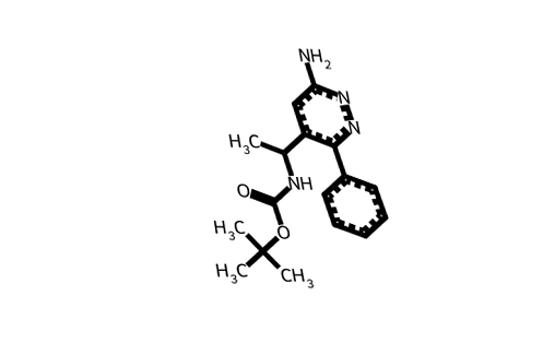 CC(NC(=O)OC(C)(C)C)c1cc(N)nnc1-c1ccccc1